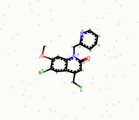 COc1cc2c(cc1Br)c(CF)cc(=O)n2Cc1ccccn1